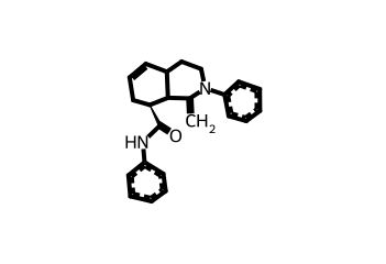 C=C1C2C(C=CC[C@@H]2C(=O)Nc2ccccc2)CCN1c1ccccc1